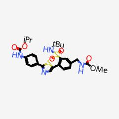 COC(=O)NCc1ccc(-c2cnc(-c3ccc(NC(=O)OC(C)C)cc3)s2)c(S(=O)(=O)NC(C)(C)C)c1